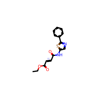 CCOC(=O)/C=C/C(=O)Nc1cnc(-c2ccccc2)s1